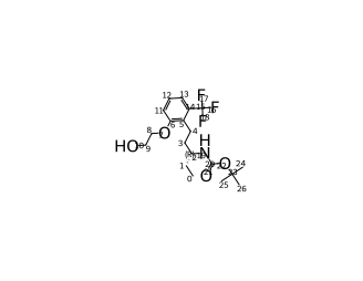 CC[C@H](CCc1c(OCCO)cccc1C(F)(F)F)NC(=O)OC(C)(C)C